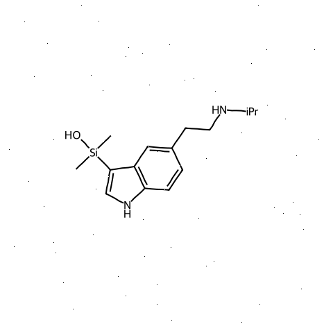 CC(C)NCCc1ccc2[nH]cc([Si](C)(C)O)c2c1